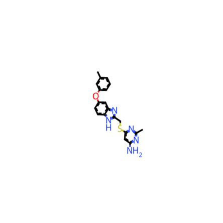 Cc1cccc(Oc2ccc3[nH]c(CSc4cc(N)nc(C)n4)nc3c2)c1